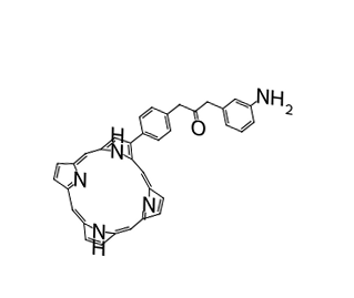 Nc1cccc(CC(=O)Cc2ccc(-c3cc4cc5nc(cc6ccc(cc7nc(cc3[nH]4)C=C7)[nH]6)C=C5)cc2)c1